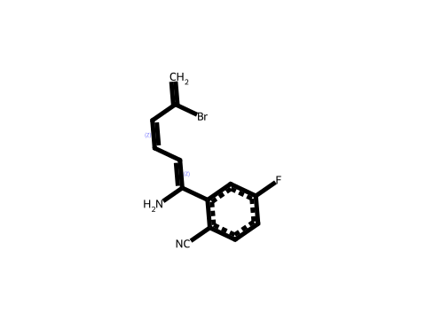 C=C(Br)/C=C\C=C(/N)c1cc(F)ccc1C#N